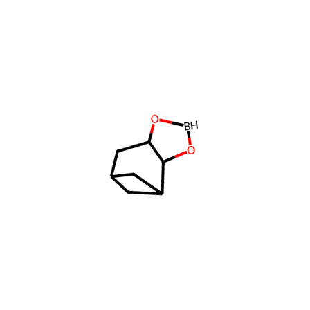 B1OC2CC3CC(C3)C2O1